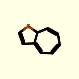 [C]1=CSC2C=CC=CC=C12